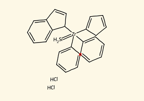 Cl.Cl.[SiH2]=[Zr]([C]1=CC=CC1)([c]1ccccc1)([c]1ccccc1)[CH]1C=Cc2ccccc21